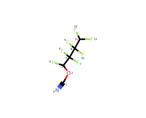 N#COC(F)C(F)(F)C(F)(F)C(F)F